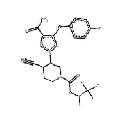 CC(OC(=O)N1CCC(C#N)[C@@H](n2cc(C(N)=O)c(Nc3ccc(F)cc3)n2)C1)C(F)(F)F